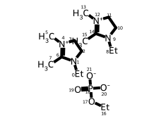 CCN1CC[N+](C)=C1C.CCN1CC[N+](C)=C1C.CCOP(=O)([O-])[O-]